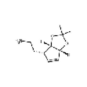 CC1(C)O[C@H]2[C@@H](CCN)C=C[C@H]2O1